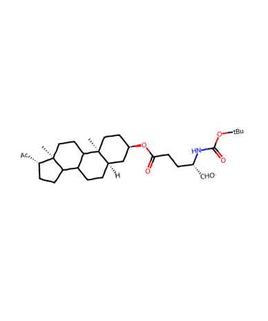 CC(=O)[C@H]1CCC2C3CC[C@@H]4C[C@H](OC(=O)CC[C@@H]([C]=O)NC(=O)OC(C)(C)C)CC[C@]4(C)C3CC[C@@]21C